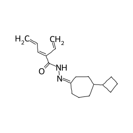 C=C/C=C(\C=C)C(=O)N/N=C1/CCCC(C2CCC2)CC1